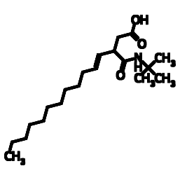 CCCCCCCCCCC=CC(CC(=O)O)C(=O)NC(C)(C)C